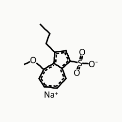 CCCc1cc(S(=O)(=O)[O-])c2ccccc(OC)c1-2.[Na+]